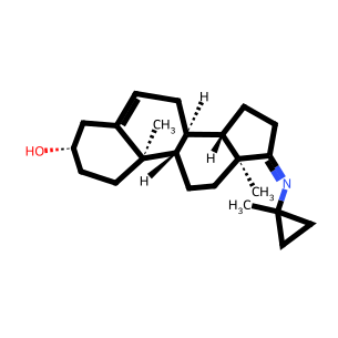 CC1(/N=C2/CC[C@H]3[C@@H]4CC=C5C[C@@H](O)CC[C@]5(C)[C@H]4CC[C@]23C)CC1